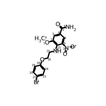 COc1cc(C(N)=O)cc([N+](=O)[O-])c1NCCOc1ccc(Br)cc1